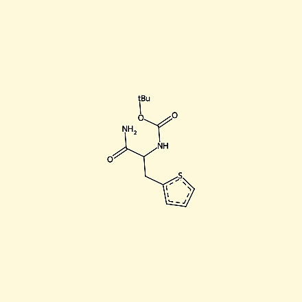 CC(C)(C)OC(=O)NC(Cc1cccs1)C(N)=O